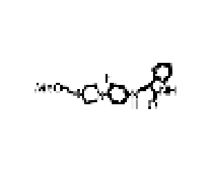 COCCN1CCN(c2ccc(NC=C3C(=O)Nc4ccccc43)cc2F)CC1